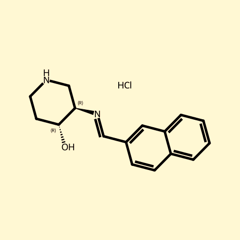 Cl.O[C@@H]1CCNC[C@H]1N=Cc1ccc2ccccc2c1